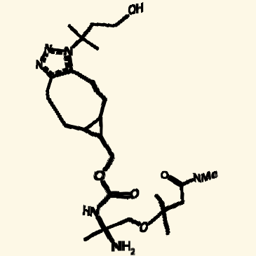 CNC(=O)CC(C)(C)OCC(C)(N)NC(=O)OCC1C2CCc3nnn(C(C)(C)CCO)c3CCC21